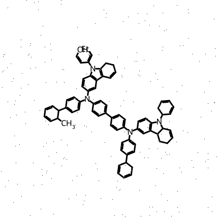 C/C=C\C(=C/CC)n1c2c(c3cc(N(c4ccc(-c5ccc(N(c6ccc(C7C=CC=CC7)cc6)c6ccc7c(c6)C6CCC=CC6N7C6C=CC=CC6)cc5)cc4)c4ccc(C5C=CC=CC5C)cc4)ccc31)C=CCC2